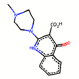 CN1CCN(c2[nH]c3ccccc3c(=O)c2C(=O)O)CC1